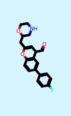 O=CC1C=C(CC2CNCCO2)Oc2ccc(-c3ccc(F)cc3)cc21